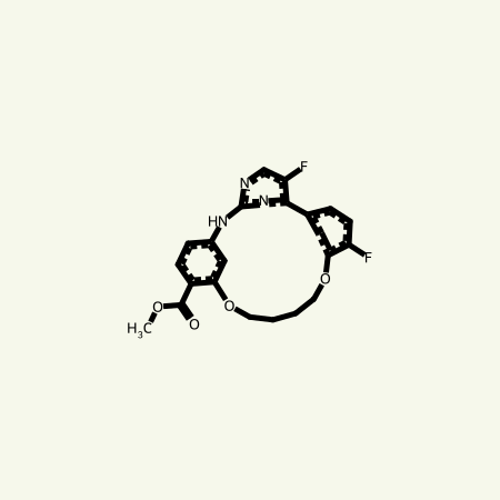 COC(=O)c1ccc2cc1OCCCCOc1cc(ccc1F)-c1nc(ncc1F)N2